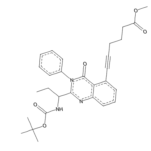 CCC(NC(=O)OC(C)(C)C)c1nc2cccc(C#CCCCC(=O)OC)c2c(=O)n1-c1ccccc1